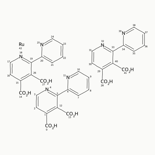 O=C(O)c1ccnc(-c2ccccn2)c1C(=O)O.O=C(O)c1ccnc(-c2ccccn2)c1C(=O)O.O=C(O)c1ccnc(-c2ccccn2)c1C(=O)O.[Ru]